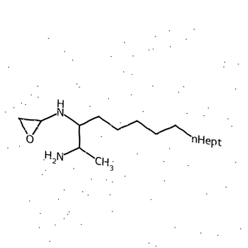 CCCCCCCCCCCCC(NC1CO1)C(C)N